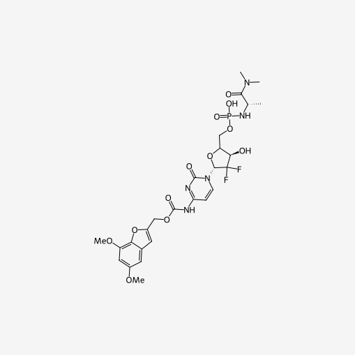 COc1cc(OC)c2oc(COC(=O)Nc3ccn([C@@H]4OC(COP(=O)(O)N[C@@H](C)C(=O)N(C)C)[C@@H](O)C4(F)F)c(=O)n3)cc2c1